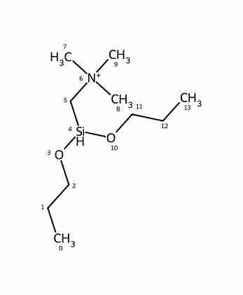 CCCO[SiH](C[N+](C)(C)C)OCCC